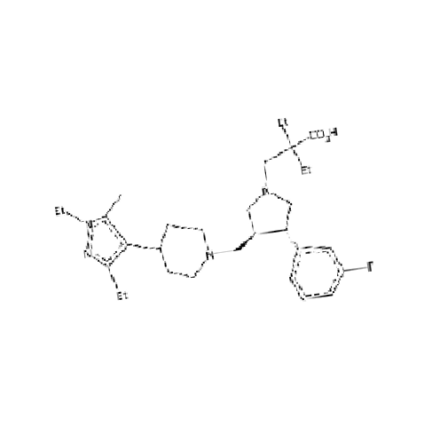 CCc1nn(CC)c(C)c1C1CCN(C[C@H]2CN(CC(CC)(CC)C(=O)O)C[C@@H]2c2cccc(F)c2)CC1